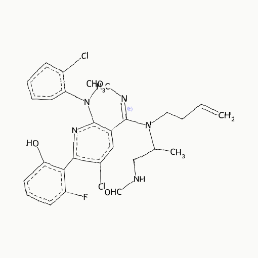 C=CCCN(/C(=N/C)c1cc(Cl)c(-c2c(O)cccc2F)nc1N(C=O)c1ccccc1Cl)C(C)CNC=O